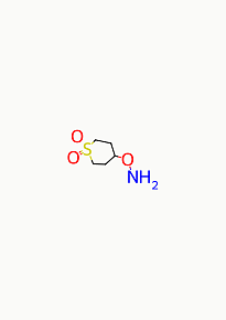 NOC1CCS(=O)(=O)CC1